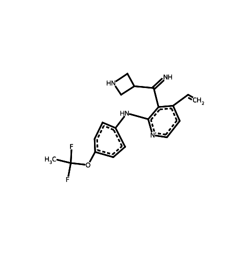 C=Cc1ccnc(Nc2ccc(OC(C)(F)F)cc2)c1C(=N)C1CNC1